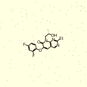 CCc1ncc2cc(Oc3ccc(F)cc3F)c(=O)n(C[C@H](C)O)c2n1